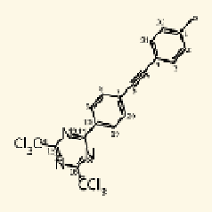 Cc1ccc(C#Cc2ccc(-c3nc(C(Cl)(Cl)Cl)nc(C(Cl)(Cl)Cl)n3)cc2)cc1